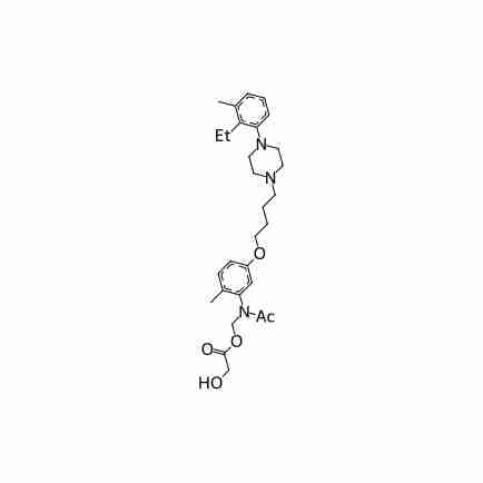 CCc1c(C)cccc1N1CCN(CCCCOc2ccc(C)c(N(COC(=O)CO)C(C)=O)c2)CC1